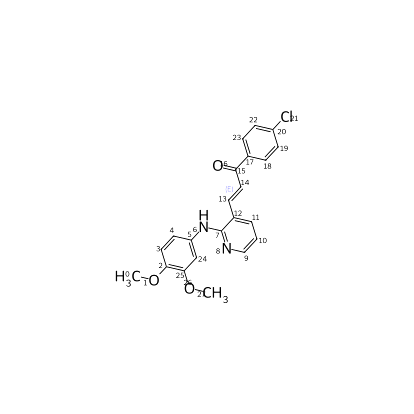 COc1ccc(Nc2ncccc2/C=C/C(=O)c2ccc(Cl)cc2)cc1OC